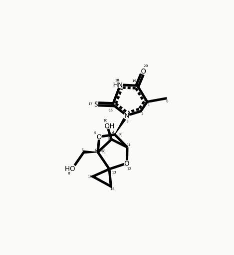 Cc1cn([C@@H]2O[C@]3(CO)C(O)C2OC32CC2)c(=S)[nH]c1=O